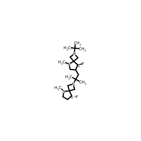 CN1CC[C@@H](F)C12CN(C(C)(C)CC1CN(C)C3(CN(C(C)(C)C)C3)[C@H]1F)C2